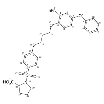 CCCc1cc(Oc2ccccc2)ccc1OCCCSc1ccc(S(=O)(=O)N2CCCC2C(=O)O)cc1